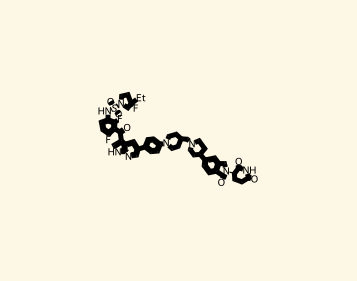 CCC1(F)CCN(S(=O)(=O)Nc2ccc(F)c(C(=O)c3c[nH]c4ncc(-c5ccc(N6CCC(CN7CCC(c8ccc9c(c8)CN([C@H]8CCC(=O)NC8=O)C9=O)CC7)CC6)cc5)cc34)c2F)C1